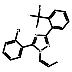 C/C=C\n1nc(-c2ccccc2C(F)(F)F)nc1-c1ccccc1Cl